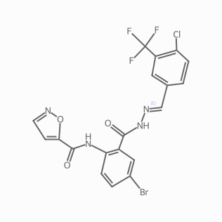 O=C(Nc1ccc(Br)cc1C(=O)N/N=C/c1ccc(Cl)c(C(F)(F)F)c1)c1ccno1